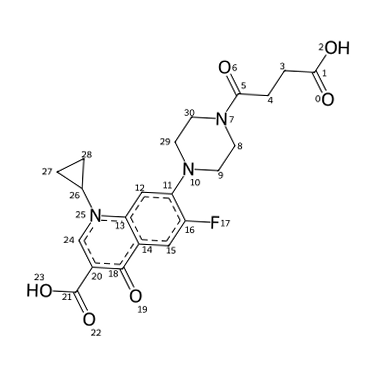 O=C(O)CCC(=O)N1CCN(c2cc3c(cc2F)c(=O)c(C(=O)O)cn3C2CC2)CC1